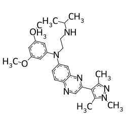 COc1cc(OC)cc(N(CCNC(C)C)c2ccc3ncc(-c4c(C)nn(C)c4C)nc3c2)c1